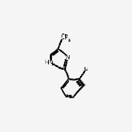 FC(F)(F)c1c[nH]c(-c2ccccc2Cl)n1